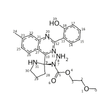 COCCOC(=O)N(N)[C@@]1(c2nc(-c3ccccc3O)nc3cc(C)ccc23)CCCN1